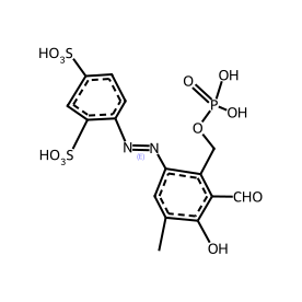 Cc1cc(/N=N/c2ccc(S(=O)(=O)O)cc2S(=O)(=O)O)c(COP(=O)(O)O)c(C=O)c1O